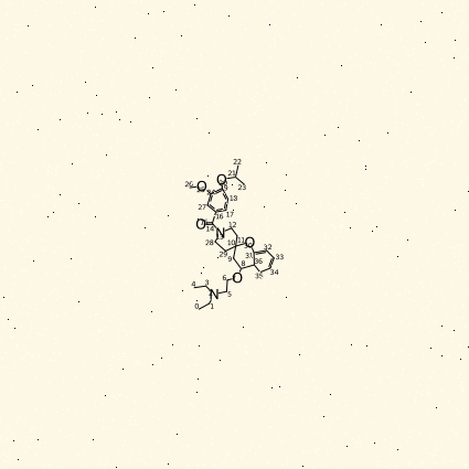 CCN(CC)CCOC1CC2(CCN(C(=O)c3ccc(OC(C)C)c(OC)c3)CC2)OC2=CC=CCC21